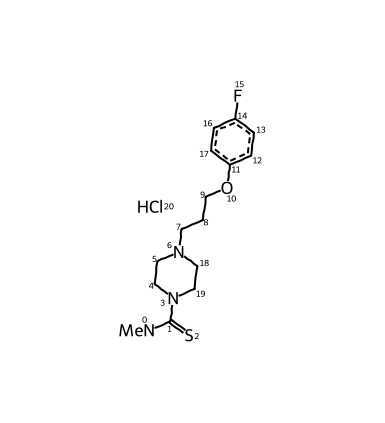 CNC(=S)N1CCN(CCCOc2ccc(F)cc2)CC1.Cl